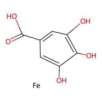 O=C(O)c1cc(O)c(O)c(O)c1.[Fe]